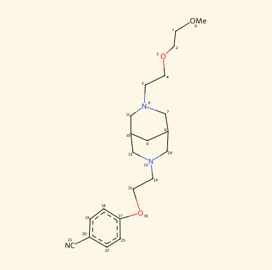 COCCOCCN1CC2CC(C1)CN(CCOc1ccc(C#N)cc1)C2